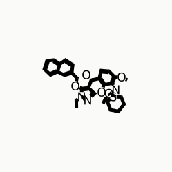 CCOc1c(C(=O)c2cnn(CC)c2OCc2ccc3ccccc3c2)ccc(OC)c1N=S1(=O)CCCCC1